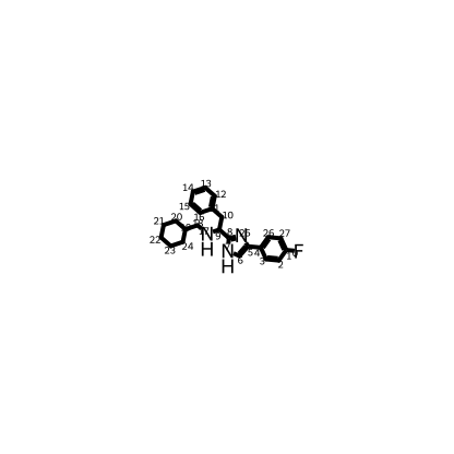 Fc1ccc(-c2c[nH]c(C(Cc3ccccc3)NCC3CCCCC3)n2)cc1